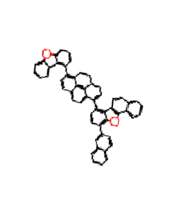 c1ccc2cc(-c3ccc(-c4ccc5ccc6c(-c7cccc8oc9ccccc9c78)ccc7ccc4c5c76)c4c3oc3c5ccccc5ccc34)ccc2c1